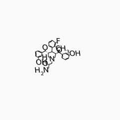 Cc1c(F)cccc1C1[C@@H](C(=O)c2cccc(O)c2)CN(CC(O)CN)C[C@@H]1C(=O)c1cccc(O)c1